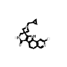 O=C1NCC2(CN(CC3CC3)C2)c2[nH]c3c(c21)CCc1cnc(Cl)cc1-3